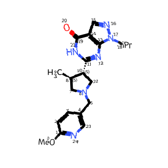 COc1ccc(CN2C[C@@H](C)[C@H](c3nc4c(cnn4C(C)C)c(=O)[nH]3)C2)cn1